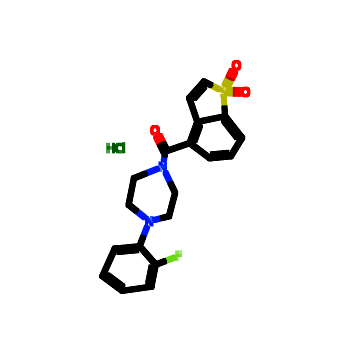 Cl.O=C(c1cccc2c1C=CS2(=O)=O)N1CCN(c2ccccc2F)CC1